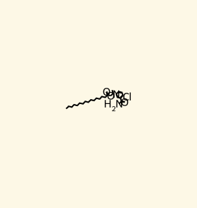 CCCCCCCCCCCCCCCC(=O)OC(C)N1C=CC(Cl)=C(C(N)=O)C1